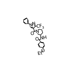 CCOc1ccc(C(=O)NC2CCCN(C(=O)c3cn(-c4ccccc4)nc3C(F)(F)F)C2)cc1